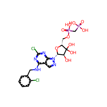 O=P(O)(O)CP(=O)(O)OC[C@H]1O[C@@H](n2ncc3c(NCc4ccccc4Cl)nc(Cl)nc32)[C@H](O)C1(O)O